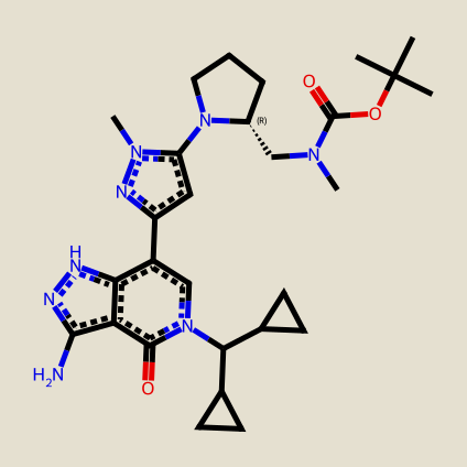 CN(C[C@H]1CCCN1c1cc(-c2cn(C(C3CC3)C3CC3)c(=O)c3c(N)n[nH]c23)nn1C)C(=O)OC(C)(C)C